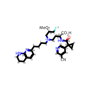 CO[C@H](CF)CN(CCCCc1ccc2c(n1)NCCC2)CC[C@H](NC(=O)C1(c2cncc(C#N)c2)CC1)C(=O)O